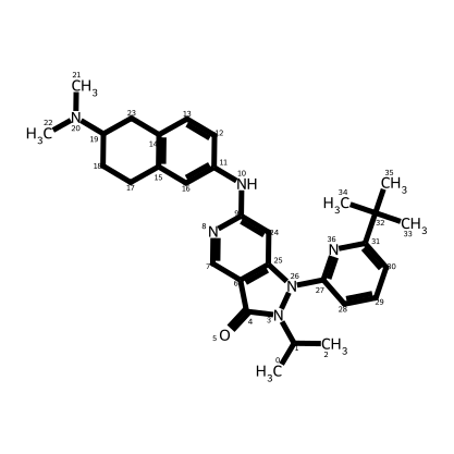 CC(C)n1c(=O)c2cnc(Nc3ccc4c(c3)CCC(N(C)C)C4)cc2n1-c1cccc(C(C)(C)C)n1